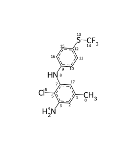 Cc1cc(N)c(Cl)c(Nc2ccc(SC(F)(F)F)cc2)c1